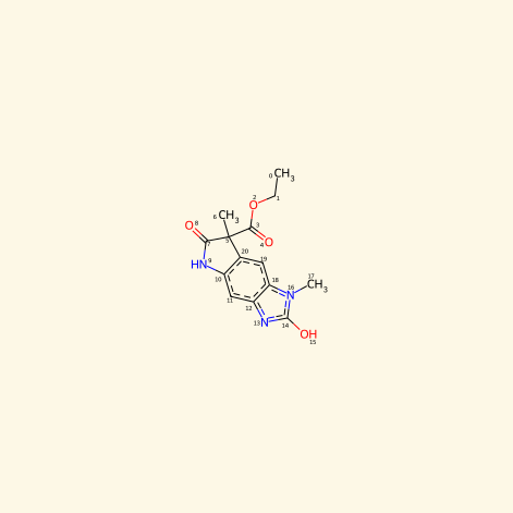 CCOC(=O)C1(C)C(=O)Nc2cc3nc(O)n(C)c3cc21